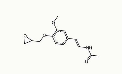 COc1cc(/C=C/NC(C)=O)ccc1OCC1CO1